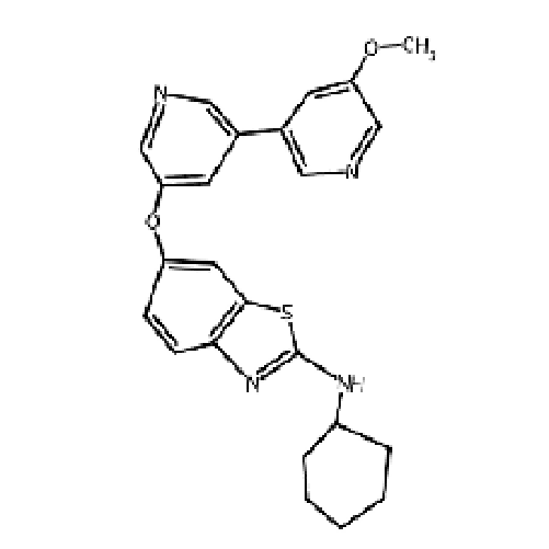 COc1cncc(-c2cncc(Oc3ccc4nc(NC5CCCCC5)sc4c3)c2)c1